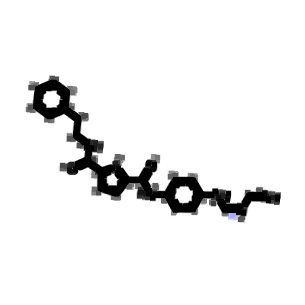 N=C/N=C\Nc1ccc(NC(=O)c2ccc(C(=O)NCCc3ccccc3)s2)cc1